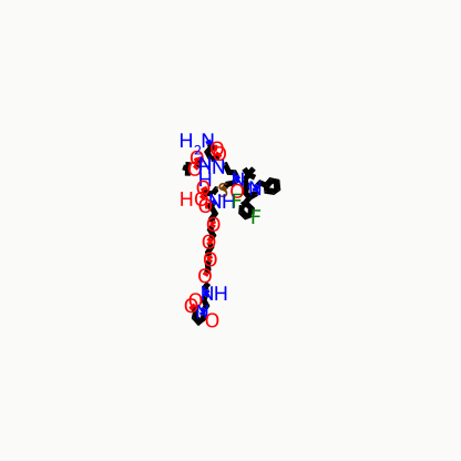 CC(C)(C)OC(=O)NC(CC(N)=O)C(=O)NCCCN(C(=O)CSCC(NC(=O)CCOCCOCCOCCOCCNC(=O)CN1C(=O)C=CC1=O)C(=O)O)C(c1cc(-c2cc(F)ccc2F)cn1Cc1ccccc1)C(C)(C)C